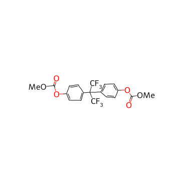 COC(=O)Oc1ccc(C(c2ccc(OC(=O)OC)cc2)(C(F)(F)F)C(F)(F)F)cc1